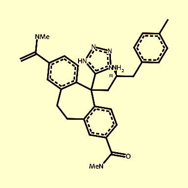 C=C(NC)c1ccc2c(c1)CCc1cc(C(=O)NC)ccc1C2(C[C@@H](N)Cc1ccc(C)cc1)c1nnn[nH]1